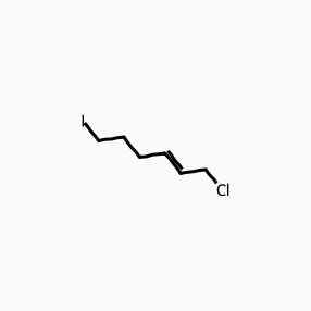 ClCC=CCCCI